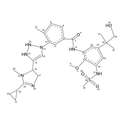 COc1c(NC(=O)c2ccc(C)c(N3C=C(C4CN=C(C5CC5)N4C)NN3)c2)cc(C(C)(C)CO)cc1NS(C)(=O)=O